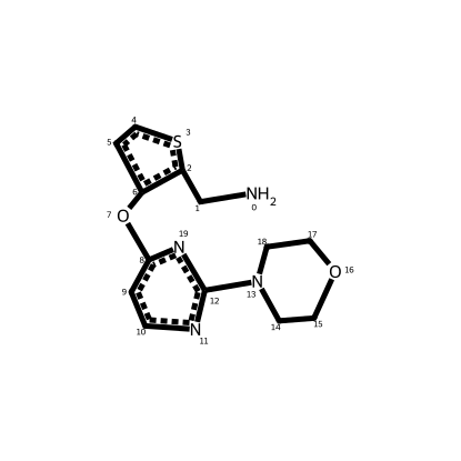 NCc1sccc1Oc1ccnc(N2CCOCC2)n1